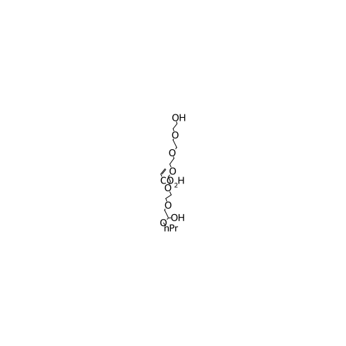 C=CC(=O)O.CCCOC(O)COCCOCCOCCOCCOCCO